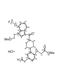 COCCn1cc(C(=O)N2CCC(c3cc(CN)ccc3OCC(=O)OC)CC2)c2cccc(OC(F)(F)F)c21.Cl